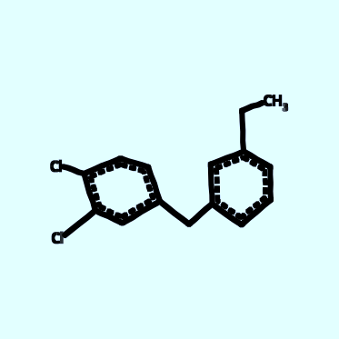 CCc1cccc(Cc2ccc(Cl)c(Cl)c2)c1